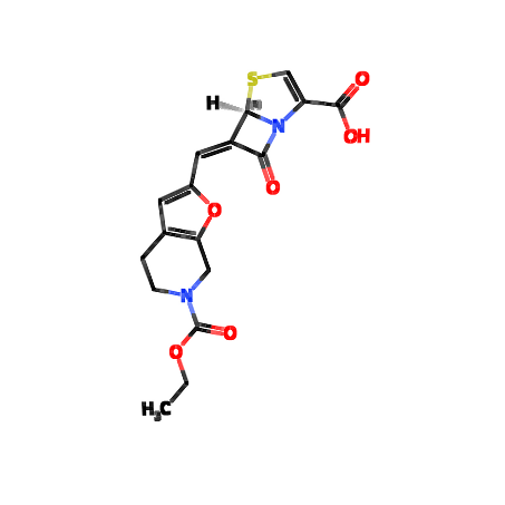 CCOC(=O)N1CCc2cc(C=C3C(=O)N4C(C(=O)O)=CS[C@H]34)oc2C1